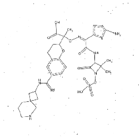 CC(ON=C(C(=O)NC1C(=O)N(OS(=O)(=O)O)C1(C)C)c1csc(N)n1)(C(=O)O)C1CCc2cc(C(=N)NC3CC4(CCCNC4)C3)ccc2O1